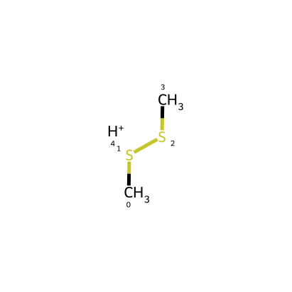 CSSC.[H+]